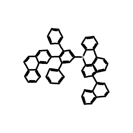 c1ccc(-c2ccccc2N(c2ccc(-c3cccc4ccccc34)cc2)c2cc(-c3ccccc3)c(-c3ccc4ccc5ccccc5c4c3)c(-c3ccccc3)c2)cc1